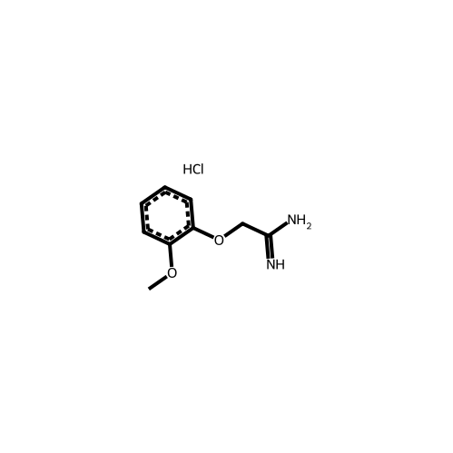 COc1ccccc1OCC(=N)N.Cl